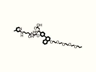 CCCOCCOCCOCCOCCOc1ccc(-c2ccc([C@H](CC(=O)O)NC(=O)[C@H](C)NC(=O)CCCNc3cc(C)ccn3)cc2)c2ccccc12